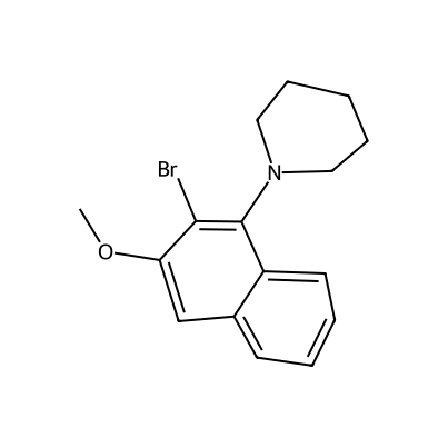 COc1cc2ccccc2c(N2CCCCC2)c1Br